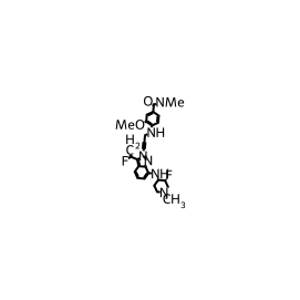 C=C(F)c1c2cccc(N[C@@H]3CCN(C)C[C@@H]3F)c2nn1C#CCNc1ccc(C(=O)NC)cc1OC